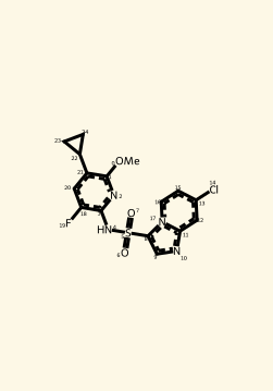 COc1nc(NS(=O)(=O)c2cnc3cc(Cl)ccn23)c(F)cc1C1CC1